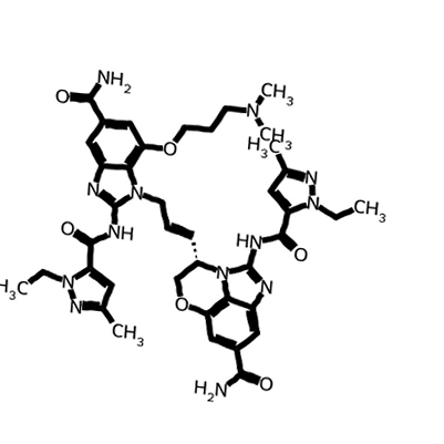 CCn1nc(C)cc1C(=O)Nc1nc2cc(C(N)=O)cc(OCCCN(C)C)c2n1C/C=C/[C@H]1COc2cc(C(N)=O)cc3nc(NC(=O)c4cc(C)nn4CC)n1c23